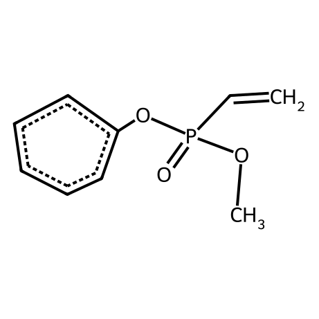 C=CP(=O)(OC)Oc1ccccc1